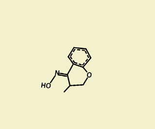 CC1COc2ccccc2/C1=N/O